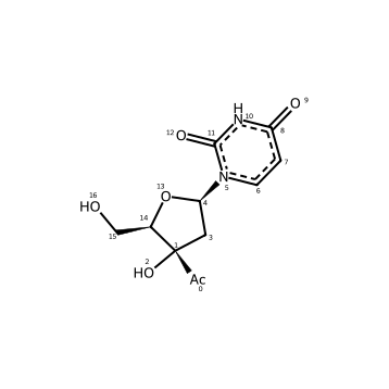 CC(=O)[C@]1(O)C[C@H](n2ccc(=O)[nH]c2=O)O[C@@H]1CO